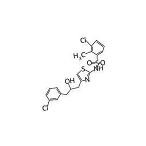 Cc1c(Cl)cccc1S(=O)(=O)Nc1nc(CC(O)Cc2cccc(Cl)c2)cs1